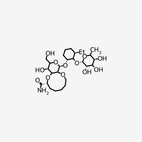 CC[C@@H]1CCC[C@@H](O[C@@H]2OC(CO)[C@H](O)C3O[C@@H](C(N)=O)CCCCCOC32)C1O[C@@H]1OC(C)[C@@H](O)C(O)[C@@H]1O